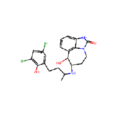 CC(CCc1cc(Br)cc(Br)c1O)NC1CCn2c(=O)[nH]c3cccc(c32)C1O